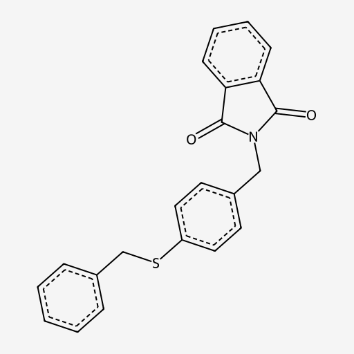 O=C1c2ccccc2C(=O)N1Cc1ccc(SCc2ccccc2)cc1